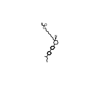 C=CC(=O)OCCCCCCCCC1(C#N)CCCC(c2ccc(-c3ccc(C(C)CCC)cc3)cc2)C1